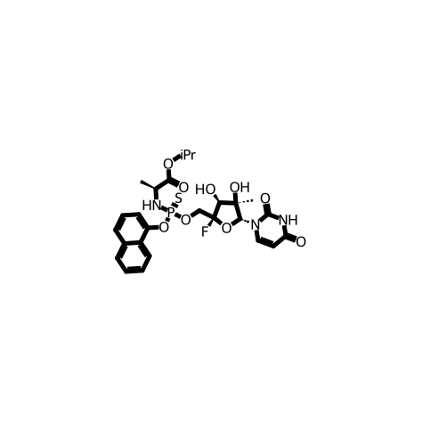 CC(C)OC(=O)[C@H](C)NP(=S)(OC[C@@]1(F)O[C@@H](n2ccc(=O)[nH]c2=O)[C@](C)(O)[C@@H]1O)Oc1cccc2ccccc12